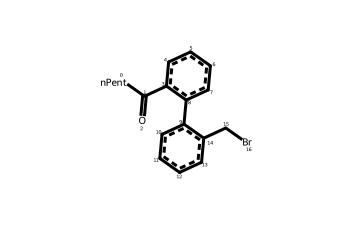 CCCCCC(=O)c1ccccc1-c1ccccc1CBr